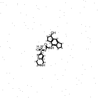 NS(=O)(=NC(=O)Nc1c2c(cc3c1CCC3O)CCC2)c1cc2n(n1)CCNC2